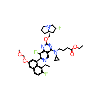 CCOC(=O)CCCN(c1nc(OC[C@@]23CCCN2C[C@H](F)C3)nc2c(F)c(-c3cc(OCOC)cc4ccc(F)c(CC)c34)ncc12)C1CC1